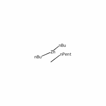 CCCCCC.CCC[CH2][Zn][CH2]CCC